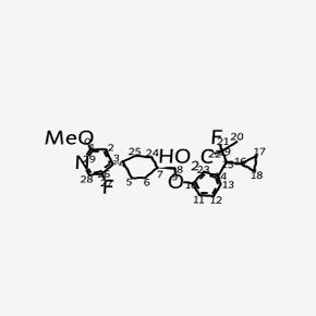 COc1cc([C@H]2CC[C@H](COc3cccc(C(C4CC4)C(C)(F)C(=O)O)c3)CC2)c(F)cn1